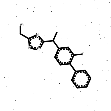 CC(C)Cc1noc(C(C)c2ccc(-c3ccccc3)c(F)c2)n1